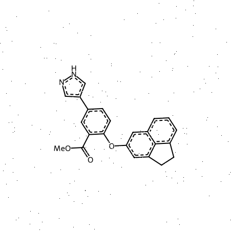 COC(=O)c1cc(-c2cn[nH]c2)ccc1Oc1cc2c3c(cccc3c1)CC2